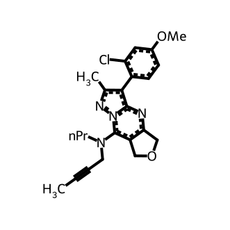 CC#CCN(CCC)c1c2c(nc3c(-c4ccc(OC)cc4Cl)c(C)nn13)COC2